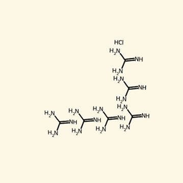 Cl.N=C(N)N.N=C(N)N.N=C(N)N.N=C(N)N.N=C(N)N.N=C(N)N